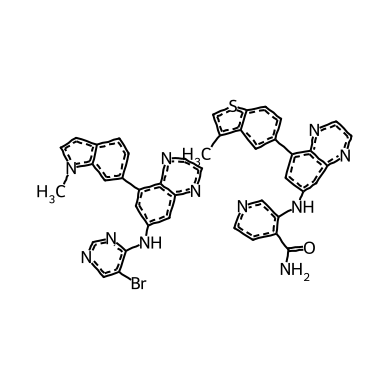 Cc1csc2ccc(-c3cc(Nc4cnccc4C(N)=O)cc4nccnc34)cc12.Cn1ccc2ccc(-c3cc(Nc4ncncc4Br)cc4nccnc34)cc21